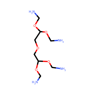 NCOC(COCC(OCN)OCN)OCN